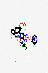 CCc1c(F)ccc2cc(O)cc(-c3nc4c5c(nc(OC[C@@]67CCCN6C[C@H](F)C7)nc5c3F)N(CC(F)F)[C@@H](C)CO4)c12